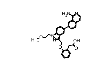 COCCn1nc(COc2ccccc2CC(=O)O)c2cc(-c3ccc4ccnc(N)c4c3)ccc21